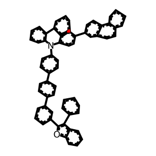 c1ccc(-c2ccccc2N(c2ccc(-c3ccc(-c4cccc(-c5oc6ccccc6c5-c5ccccc5)c4)cc3)cc2)c2ccc(-c3ccc4c(ccc5ccccc54)c3)cc2)cc1